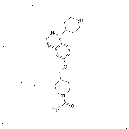 CC(=O)N1CCC(COc2ccc3c(C4CCNCC4)ncnc3c2)CC1